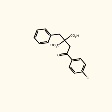 CCOC(=O)C(CC(=O)c1ccc(Cl)cc1)(Cc1ccccc1)C(=O)O